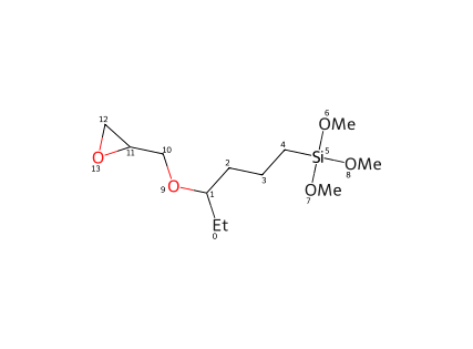 CCC(CCC[Si](OC)(OC)OC)OCC1CO1